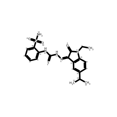 CCN1C(=O)C(=NNC(=S)Nc2ccccc2S(N)(=O)=O)c2cc(C(C)C)ccc21